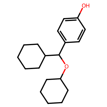 Oc1ccc(C(OC2CCCCC2)C2CCCCC2)cc1